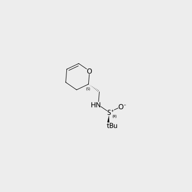 CC(C)(C)[S@+]([O-])NC[C@@H]1CCC=CO1